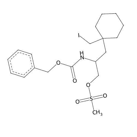 CS(=O)(=O)OCC(CC1(CI)CCCCC1)NC(=O)OCc1ccccc1